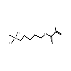 C=C(C)C(=O)OCCCCC[Si](C)(Cl)Cl